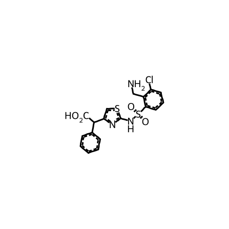 NCc1c(Cl)cccc1S(=O)(=O)Nc1nc(C(C(=O)O)c2ccccc2)cs1